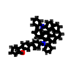 c1ccc(N(c2ccc(-c3ccc4c(c3)oc3ccccc34)cc2)c2ccc(-c3ccccc3-n3c4ccccc4c4ccccc43)cc2)c(-c2ccc3c(ccc4ccccc43)c2)c1